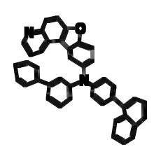 c1ccc(-c2cccc(N(c3ccc(-c4cccc5ccccc45)cc3)c3ccc4oc5ccc6ncccc6c5c4c3)c2)cc1